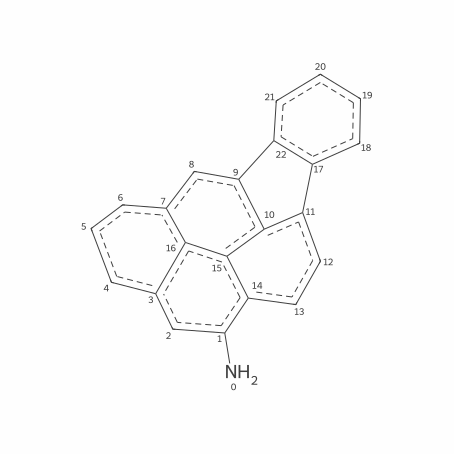 Nc1cc2cccc3cc4c5c(ccc1c5c23)-c1ccccc1-4